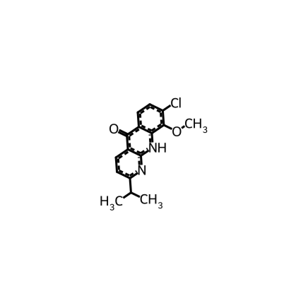 COc1c(Cl)ccc2c(=O)c3ccc(C(C)C)nc3[nH]c12